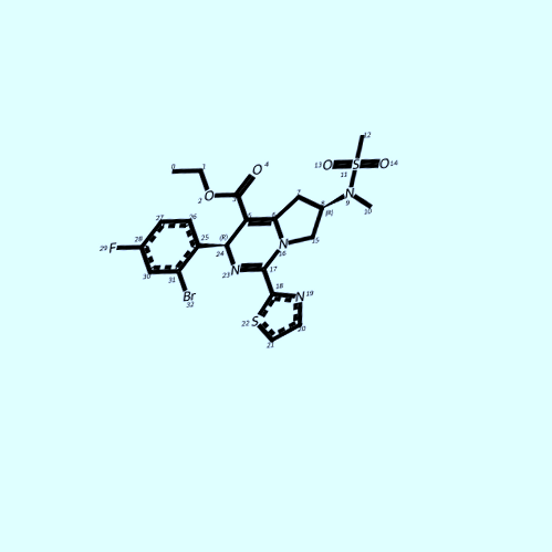 CCOC(=O)C1=C2C[C@@H](N(C)S(C)(=O)=O)CN2C(c2nccs2)=N[C@H]1c1ccc(F)cc1Br